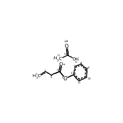 C=CCC(=O)Oc1ccccc1.CC(=O)O